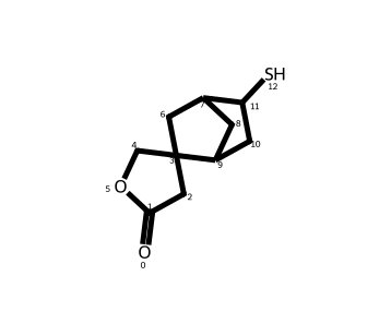 O=C1CC2(CO1)CC1CC2CC1S